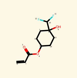 C=CC(=O)OC1CCC(O)(C(F)F)CC1